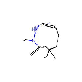 C=C1N(C)N/C=C\CCC1(C)C